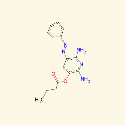 CCCC(=O)Oc1cc(N=Nc2ccccc2)c(N)nc1N